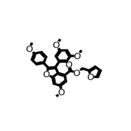 COc1ccc(-c2oc3cc(OC)cc(C(=O)OCc4ccco4)c3c2-c2cc(OC)cc(OC)c2)cc1